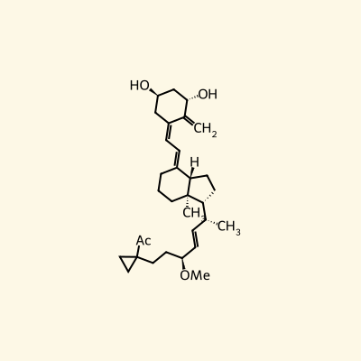 C=C1/C(=C\C=C2/CCC[C@]3(C)[C@@H]([C@H](C)/C=C/[C@H](CCC4(C(C)=O)CC4)OC)CC[C@@H]23)C[C@@H](O)C[C@@H]1O